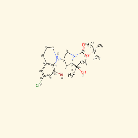 CC(C)(C)OC(=O)N1C[C@@H](N2CCCc3cc(Cl)cc(Br)c32)C[C@@H]1C(C)(C)O